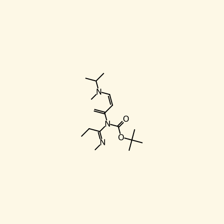 C=C(/C=C\N(C)C(C)C)N(C(=O)OC(C)(C)C)/C(CC)=N/C